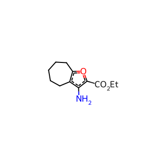 CCOC(=O)c1oc2c(c1N)CCCCC2